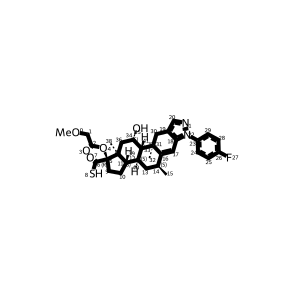 COCC(=O)O[C@]1(C(=O)S)CC[C@H]2[C@@H]3C[C@H](C)C4=Cc5c(cnn5-c5ccc(F)cc5)C[C@]4(C)[C@H]3[C@@H](O)C[C@@]21C